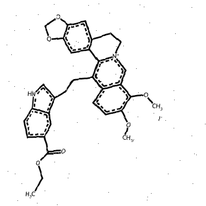 CCOC(=O)c1ccc2[nH]cc(CCc3c4[n+](cc5c(OC)c(OC)ccc35)CCc3cc5c(cc3-4)OCO5)c2c1.[I-]